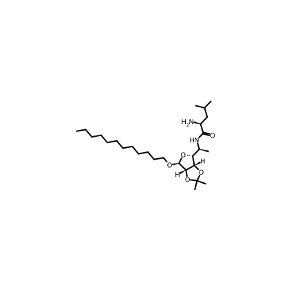 CCCCCCCCCCCCO[C@H]1O[C@H]([C@H](C)NC(=O)[C@@H](N)CC(C)C)[C@@H]2OC(C)(C)O[C@H]12